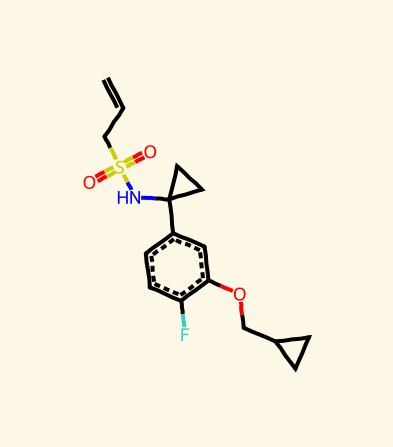 C=CCS(=O)(=O)NC1(c2ccc(F)c(OCC3CC3)c2)CC1